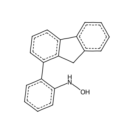 ONc1ccccc1-c1cccc2c1Cc1ccccc1-2